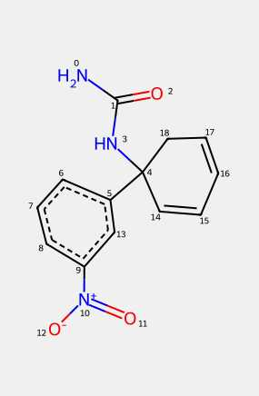 NC(=O)NC1(c2cccc([N+](=O)[O-])c2)C=CC=CC1